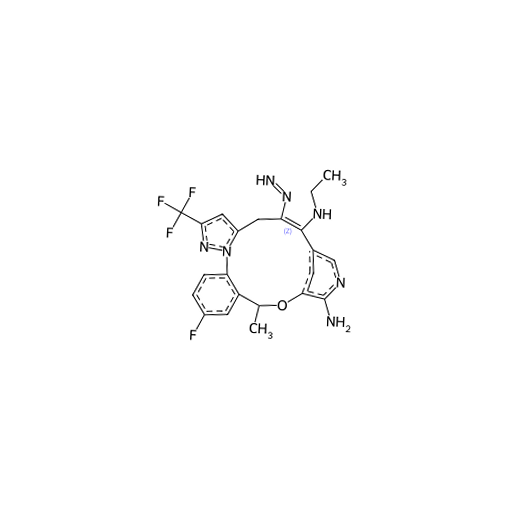 CCN/C1=C(\N=N)Cc2cc(C(F)(F)F)nn2-c2ccc(F)cc2C(C)Oc2cc1cnc2N